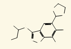 CCCCC(CO)Nc1noc2c(F)c(F)c(C3OCCO3)cc12